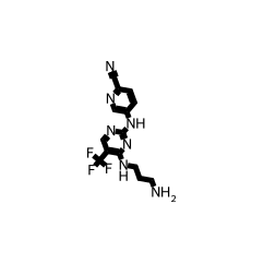 N#Cc1ccc(Nc2ncc(C(F)(F)F)c(NCCCN)n2)cn1